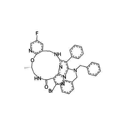 C[C@H]1CNC(=O)c2c(Br)nn3c(N(Cc4ccccc4)Cc4ccccc4)c(-c4ccccc4)c(nc23)NCc2cc(F)cnc2O1